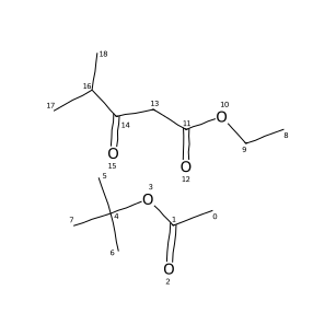 CC(=O)OC(C)(C)C.CCOC(=O)CC(=O)C(C)C